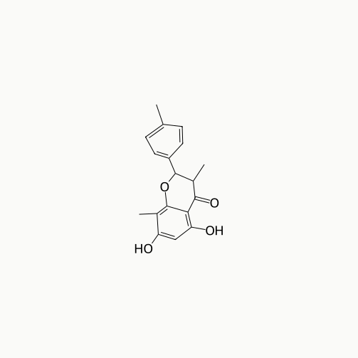 Cc1ccc(C2Oc3c(C)c(O)cc(O)c3C(=O)C2C)cc1